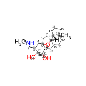 CNC[C@H]1C[C@@]23CC[C@@]4(O2)C(=CC[C@]2(C)CCC[C@H]24)C=C3[C@@H](O)[C@@H]1O